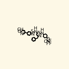 COc1ccc(-c2ccc3nc(Nc4cc(Cc5ccccc5)nc(N[C@H]5CC[C@H](OC(=O)C(F)(F)F)CC5)n4)sc3c2)cn1